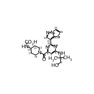 CC(C)(CO)Nc1cc(C(=O)N2CCC(NC(=O)O)CC2)nc(-c2cnn3ccsc23)n1